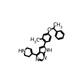 Cc1cc(OC(C)c2ccccc2)ccc1-c1cc2c(C3=CCNCC3)ncnc2[nH]1